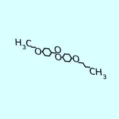 CCCCCOC1CCC(OC(=O)C2CCC(OCCC)CC2)CC1